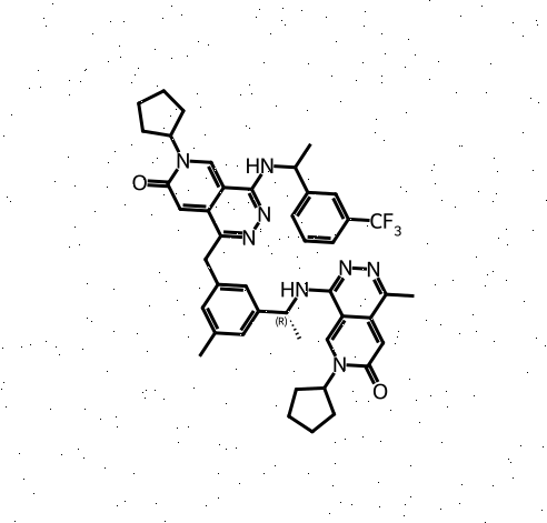 Cc1cc(Cc2nnc(NC(C)c3cccc(C(F)(F)F)c3)c3cn(C4CCCC4)c(=O)cc23)cc([C@@H](C)Nc2nnc(C)c3cc(=O)n(C4CCCC4)cc23)c1